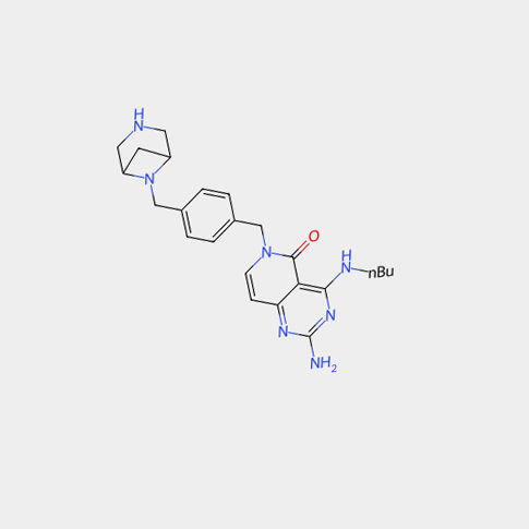 CCCCNc1nc(N)nc2ccn(Cc3ccc(CN4C5CNCC4C5)cc3)c(=O)c12